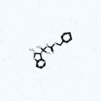 C[C@H]1Oc2cccnc2[C@@H]1C(C)(C)NC(=O)OCc1ccccc1